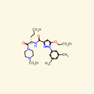 CCOC(=O)COc1cc(C(=O)N[C@@H](CCC(=O)O)C(=O)N2CCN(C(=O)OCC)CC2)nn1-c1cc(C)cc(C)c1